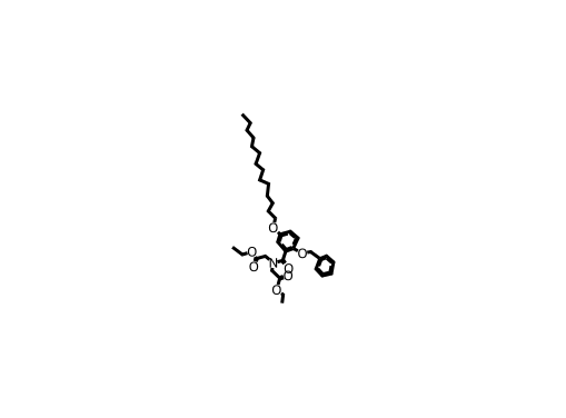 CCCCCCCCCCCCCCOc1ccc(OCc2ccccc2)c(C(=O)N(CC(=O)OCC)CC(=O)OCC)c1